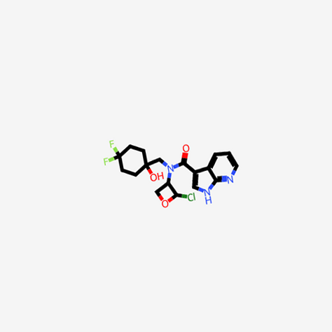 O=C(c1c[nH]c2ncccc12)N(CC1(O)CCC(F)(F)CC1)C1COC1Cl